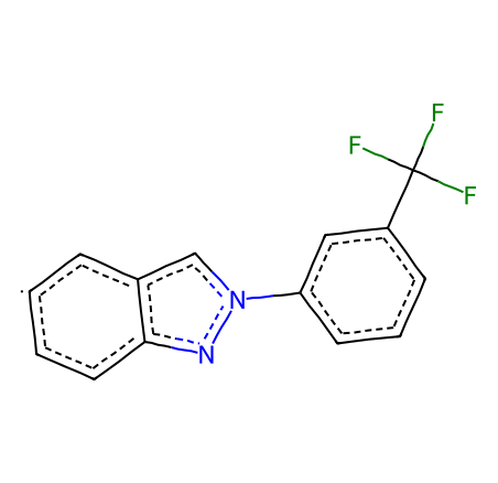 FC(F)(F)c1cccc(-n2cc3c[c]ccc3n2)c1